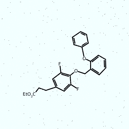 CCOC(=O)CCc1cc(F)c(OCc2ccccc2Oc2ccccc2)c(F)c1